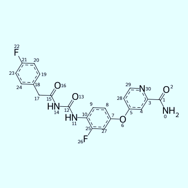 NC(=O)c1cc(Oc2ccc(NC(=O)NC(=O)Cc3ccc(F)cc3)c(F)c2)ccn1